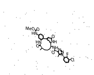 COC(=O)Nc1ccc2c(c1)NC(=O)C(C)CCCC(NC(=O)c1nnn(-c3cccc(Cl)c3F)c1C)c1cc-2cc(=O)[nH]1